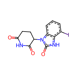 O=C1CCC(n2c(=O)[nH]c3c(I)cccc32)C(=O)N1